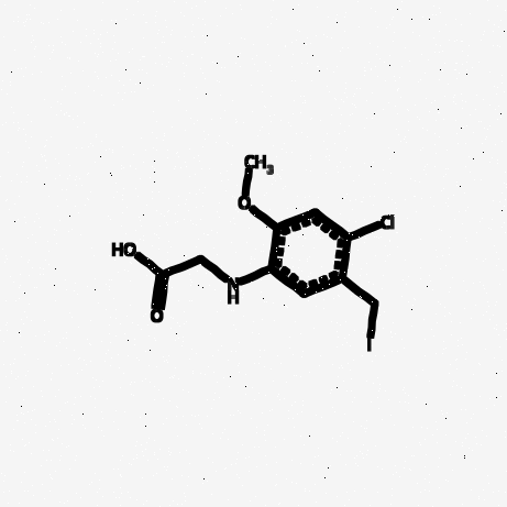 COc1cc(Cl)c(CI)cc1NCC(=O)O